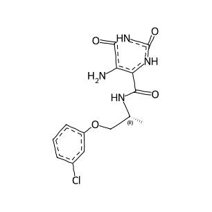 C[C@H](COc1cccc(Cl)c1)NC(=O)c1[nH]c(=O)[nH]c(=O)c1N